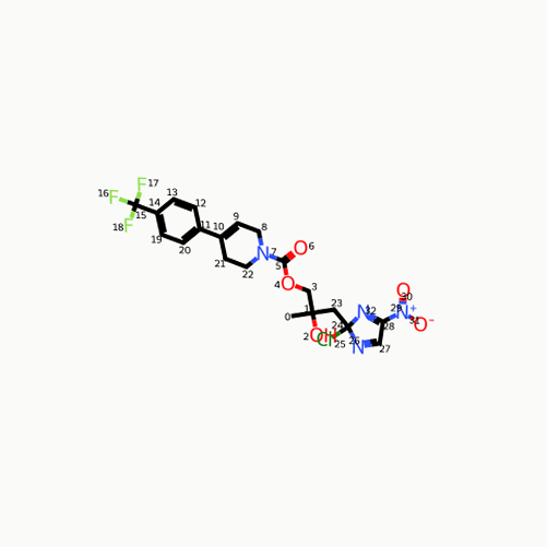 CC(O)(COC(=O)N1CC=C(c2ccc(C(F)(F)F)cc2)CC1)CC1(Cl)N=CC([N+](=O)[O-])=N1